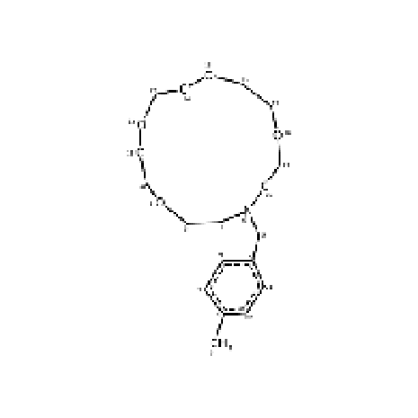 Cc1ccc(CN2CCOCCOCCOCCOCC2)cc1